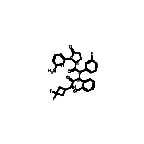 Nc1cccc(N2C(=O)CC[C@H]2C(=O)N(c2cccc(F)c2)[C@H](C(=O)NC2CC(F)(F)C2)c2ccccc2Cl)n1